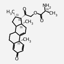 C[C@H](N)C(=O)OCC(=O)[C@H]1[C@@H](C)CC2C3CCC4=CC(=O)C=C[C@]4(C)C3=CC[C@@]21C